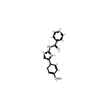 COC1=CCC(c2csc(NC(=O)c3ccncc3)n2)C=C1